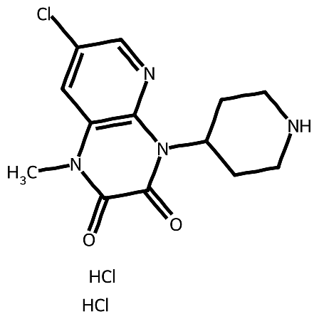 Cl.Cl.Cn1c(=O)c(=O)n(C2CCNCC2)c2ncc(Cl)cc21